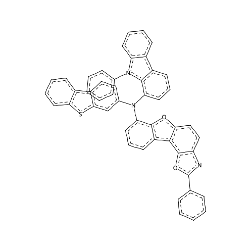 c1ccc(-c2nc3ccc4oc5c(N(c6ccc7c(c6)sc6ccccc67)c6cccc7c8ccccc8n(-c8ccccc8)c67)cccc5c4c3o2)cc1